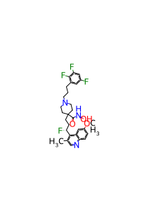 COc1ccc2ncc(C)c([C@H](F)CCC3(C(=O)NO)CCN(CCCc4cc(F)cc(F)c4F)CC3)c2c1